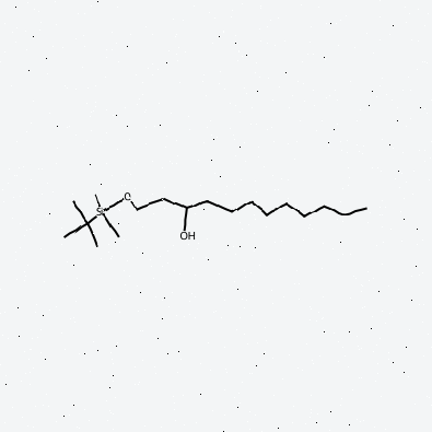 CCCCCCCCCC(O)CCO[Si](C)(C)C(C)(C)C